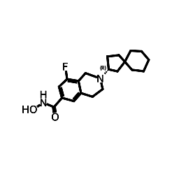 O=C(NO)c1cc(F)c2c(c1)CCN([C@@H]1CCC3(CCCCC3)C1)C2